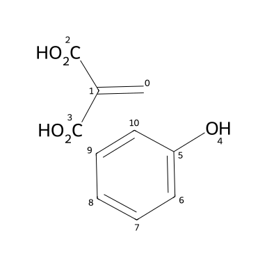 C=C(C(=O)O)C(=O)O.Oc1ccccc1